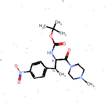 C[C@@H](c1ccc([N+](=O)[O-])cc1)[C@@H](NC(=O)OC(C)(C)C)C(=O)N1CCN(C)CC1